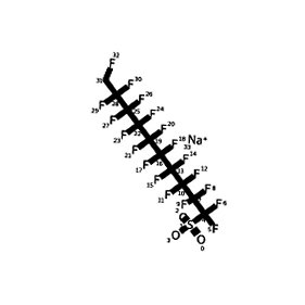 O=S(=O)([O-])C(F)(F)C(F)(F)C(F)(F)C(F)(F)C(F)(F)C(F)(F)C(F)(F)C(F)(F)C(F)(F)CF.[Na+]